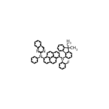 CC1(C)c2ccccc2-c2c(N(c3ccccc3F)c3ccc4ccc5c(N(c6ccccc6)c6ncc7ccccc7n6)ccc6ccc3c4c65)cccc21